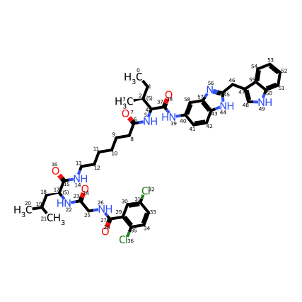 CC[C@H](C)C(NC(=O)CCCCCCNC(=O)[C@H](CC(C)C)NC(=O)CNC(=O)c1cc(Cl)ccc1Cl)C(=O)Nc1ccc2[nH]c(Cc3c[nH]c4ccccc34)nc2c1